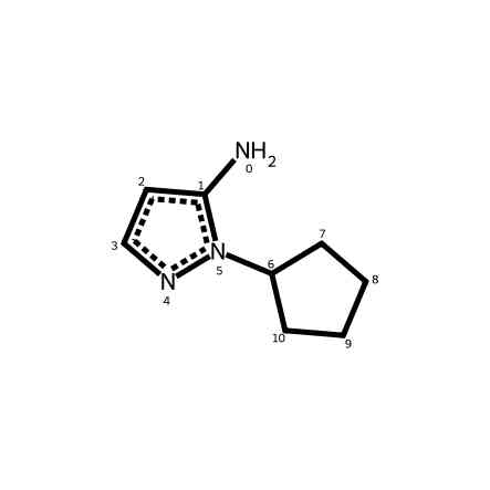 Nc1ccnn1C1CCCC1